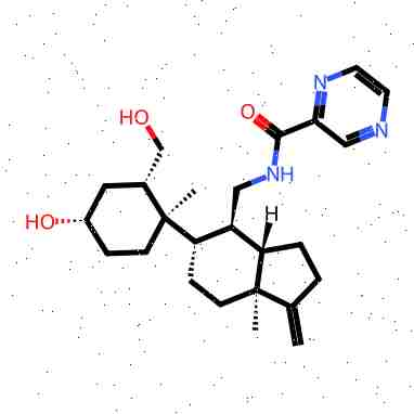 C=C1CC[C@H]2[C@H](CNC(=O)c3cnccn3)[C@@H]([C@@]3(C)CC[C@H](O)C[C@@H]3CO)CC[C@]12C